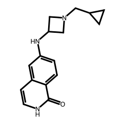 O=c1[nH]ccc2cc(NC3CN(CC4CC4)C3)ccc12